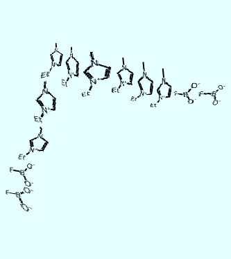 CC[n+]1ccn(C)c1.CC[n+]1ccn(C)c1.CC[n+]1ccn(C)c1.CC[n+]1ccn(C)c1.CC[n+]1ccn(C)c1.CC[n+]1ccn(C)c1.CC[n+]1ccn(C)c1.CC[n+]1ccn(C)c1.[O-]B([O-])F.[O-]B([O-])F.[O-]B([O-])F.[O-]B([O-])F